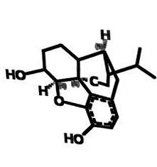 CC(C)C1CC[C@]23c4c5ccc(O)c4O[C@H]2C(O)CCC3[C@H]1C5